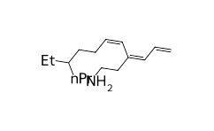 C=C/C=C(\C=C/CCC(CC)CCC)CCN